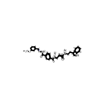 COc1cccc(/C=N/NC(=O)c2ccc(C(=O)NCCC(=O)NCCc3c[nH]c4ccccc34)cc2)c1